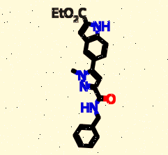 CCOC(=O)c1cc2cc(-c3cc(C(=O)NCc4ccccc4)nn3C)ccc2[nH]1